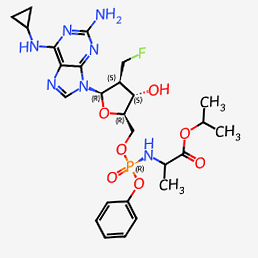 CC(C)OC(=O)C(C)N[P@@](=O)(OC[C@H]1O[C@@H](n2cnc3c(NC4CC4)nc(N)nc32)[C@@H](CF)[C@@H]1O)Oc1ccccc1